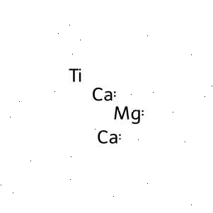 [Ca].[Ca].[Mg].[Ti]